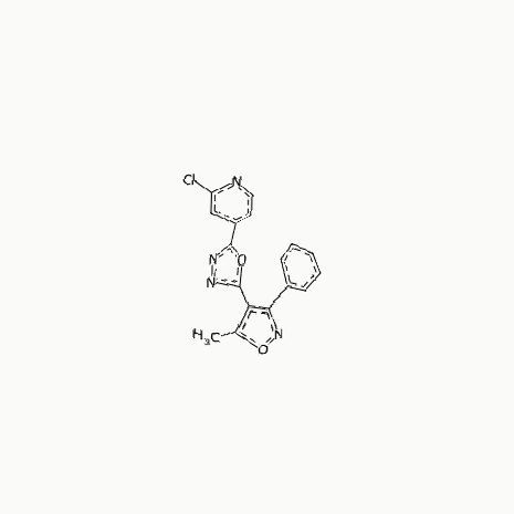 Cc1onc(-c2ccccc2)c1-c1nnc(-c2ccnc(Cl)c2)o1